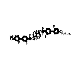 CCCCCCOc1ccc(-c2ccc(C(F)(F)O[C@H]3CO[C@@H]4[C@H]3OC[C@H]4OC(F)(F)c3ccc(-c4ccc(OCCCCCC)cc4F)cc3F)c(F)c2)c(F)c1